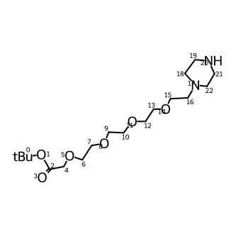 CC(C)(C)OC(=O)COCCOCCOCCOCCN1CCNCC1